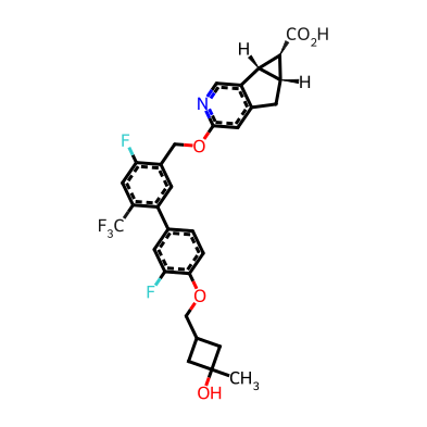 CC1(O)CC(COc2ccc(-c3cc(COc4cc5c(cn4)[C@H]4[C@@H](C5)[C@@H]4C(=O)O)c(F)cc3C(F)(F)F)cc2F)C1